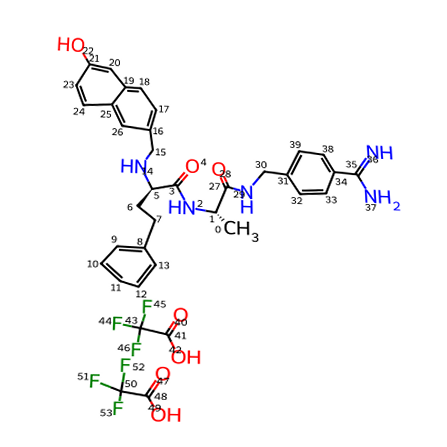 C[C@H](NC(=O)[C@@H](CCc1ccccc1)NCc1ccc2cc(O)ccc2c1)C(=O)NCc1ccc(C(=N)N)cc1.O=C(O)C(F)(F)F.O=C(O)C(F)(F)F